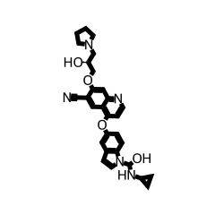 N#Cc1cc2c(Oc3ccc4c(ccn4C(O)NC4CC4)c3)ccnc2cc1OC[C@H](O)CN1CCCC1